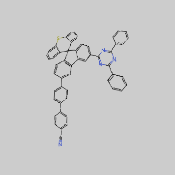 N#Cc1ccc(-c2ccc(-c3ccc4c(c3)-c3cc(-c5nc(-c6ccccc6)nc(-c6ccccc6)n5)ccc3C43c4ccccc4Sc4ccccc43)cc2)cc1